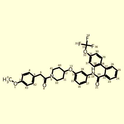 COc1ccc(CC(=O)N2CCC(Oc3cccc(NC(=O)c4ccccc4-c4ccc(OC(F)(F)F)cc4)c3)CC2)cc1